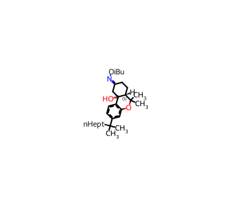 CCCCCCCC(C)(C)c1ccc2c(c1)OC(C)(C)[C@H]1CCC(=NOCC(C)C)C[C@@]21O